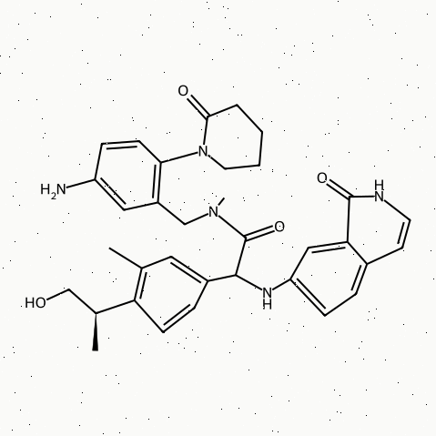 Cc1cc(C(Nc2ccc3cc[nH]c(=O)c3c2)C(=O)N(C)Cc2cc(N)ccc2N2CCCCC2=O)ccc1[C@@H](C)CO